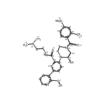 CCOc1ncccc1-c1ccc(N2CCN(C(=O)c3ccc(OC)cc3C(F)(F)F)C[C@H]2CC)c(C(=O)NCCN(C)C)n1